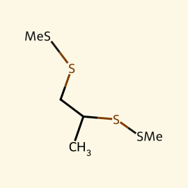 CSSCC(C)SSC